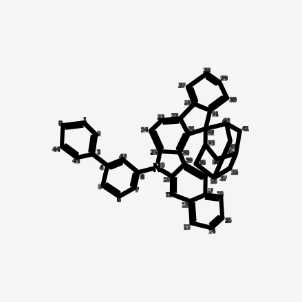 c1ccc(-c2cccc(-n3c4cc5ccccc5cc4c4c5c(ccc43)-c3ccccc3C53C4CC5CC(C4)CC3C5)c2)cc1